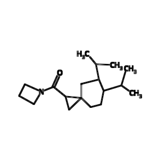 CC(C)C1CCC2(CC1C(C)C)CC2C(=O)N1CCC1